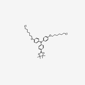 CC1(C)OB(c2ccc(N(c3ccc(OCCCCCCCl)cc3)c3ccc(OCCCCCCCl)cc3)cc2)OC1(C)C